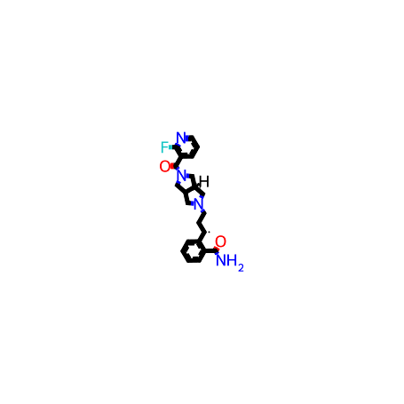 NC(=O)c1ccccc1[CH]CCN1CC2CN(C(=O)c3cccnc3F)C[C@@H]2C1